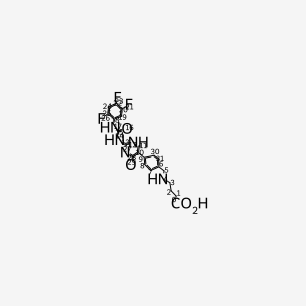 O=C(O)CCCNCc1ccc(-c2c[nH]c(NC(=O)Nc3cc(F)c(F)cc3F)nc2=O)cc1